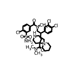 CN(C)C(=O)C1([N+]2(CCC(CN(C)C(=O)c3ccc(Cl)c(S(N)(=O)=O)c3)c3ccc(Cl)c(Cl)c3)CCCCC2)CCNCC1